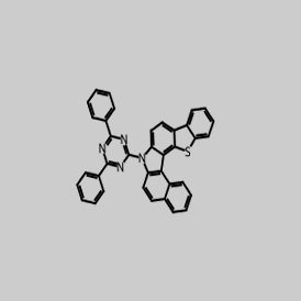 c1ccc(-c2nc(-c3ccccc3)nc(-n3c4ccc5ccccc5c4c4c5sc6ccccc6c5ccc43)n2)cc1